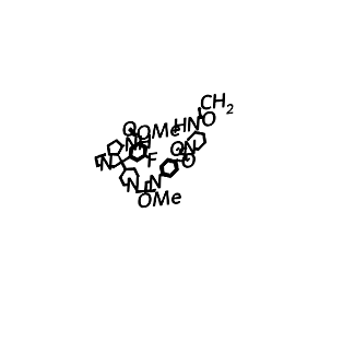 C=CC(=O)N[C@@H]1CCCN(S(=O)(=O)c2ccc(N3CC(CN4CCC(C(CN5CCC5)(c5cccc(F)c5)[C@H]5CCC[C@@H]5NC(=O)OC)CC4)(OC)C3)cc2)C1